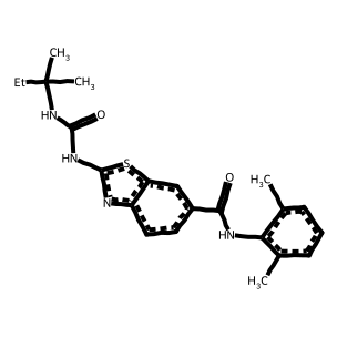 CCC(C)(C)NC(=O)Nc1nc2ccc(C(=O)Nc3c(C)cccc3C)cc2s1